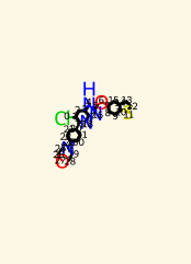 Clc1cc2[nH]c(Oc3ccc4sccc4c3)nc2nc1-c1ccc(N2CCOCC2)cc1